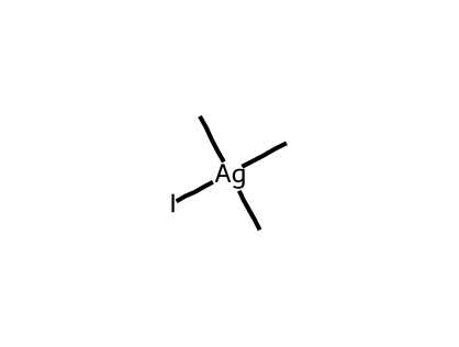 [CH3][Ag]([CH3])([CH3])[I]